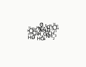 CC(C)(N)C(=O)NC(COCc1ccccc1)C(=O)N1CCC2(CC1)CC(O)c1ccccc12.Cl